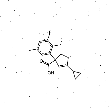 Cc1cc(F)c(C)c(C2(C(=O)O)C=C(C3CC3)CC2)c1